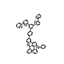 c1ccc(-c2nc3ccc(-c4ccc(-c5cc(-c6cccc(-c7ccccn7)n6)cc(-c6cccc(-c7ccccn7)n6)c5)cc4)cc3c3ccc4c(c5ccccc5n4-c4ccccc4)c23)cc1